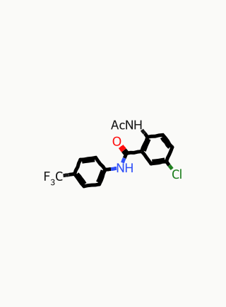 CC(=O)Nc1ccc(Cl)cc1C(=O)Nc1ccc(C(F)(F)F)cc1